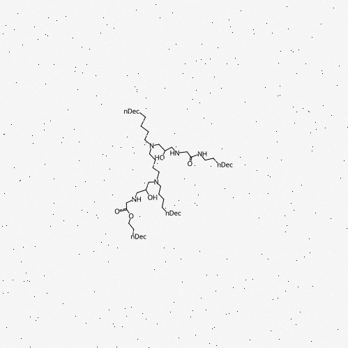 CCCCCCCCCCCCCCN(CCCCN(CCCCCCCCCCCCCC)CC(O)CNCC(=O)OCCCCCCCCCCCC)CC(O)CNCC(=O)NCCCCCCCCCCCC